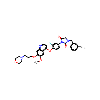 COc1cc2c(Oc3ccc(N4C(=O)CN(Cc5cccc(C)c5)C4=O)cc3F)ccnc2cc1OCCCN1CCOCC1